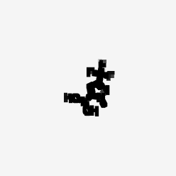 Cn1nc(C(F)(F)F)cc1N(O)O